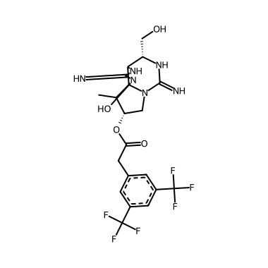 CC1[C@@H](OC(=O)Cc2cc(C(F)(F)F)cc(C(F)(F)F)c2)CN2C(=N)N[C@@H](CO)C3NC(=N)N(O)C312